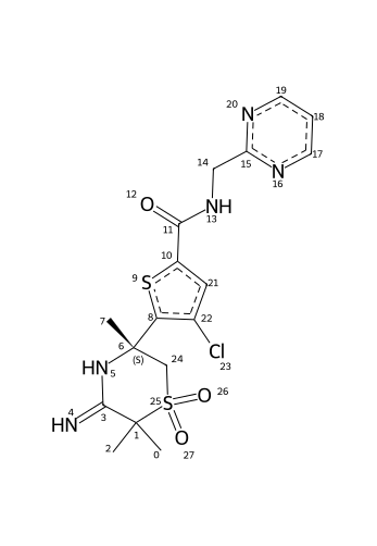 CC1(C)C(=N)N[C@](C)(c2sc(C(=O)NCc3ncccn3)cc2Cl)CS1(=O)=O